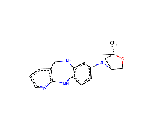 C[C@@]12CC(CO1)N(c1ccc3c(c1)NCc1cccnc1N3)C2